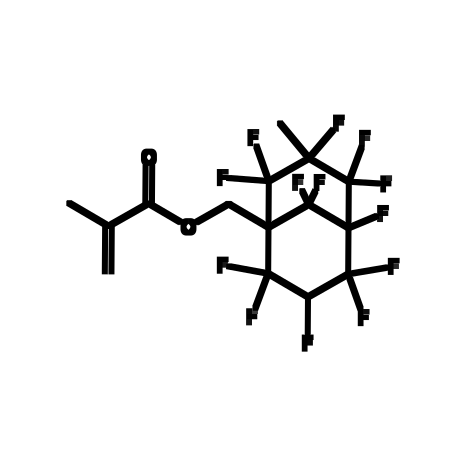 C=C(C)C(=O)OCC12C(F)(F)C(F)C(F)(F)C(F)(C(F)(F)C(C)(F)C1(F)F)C2(F)F